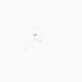 N=C(CN)c1c(O[C@H]2C[C@H](O)C2)ccnc1Nc1ccc(OC(F)(F)F)cc1